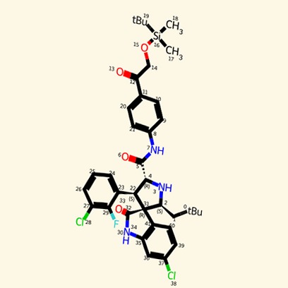 CC(C)(C)C[C@@H]1N[C@@H](C(=O)Nc2ccc(C(=O)CO[Si](C)(C)C(C)(C)C)cc2)[C@H](c2cccc(Cl)c2F)[C@]12C(=O)Nc1cc(Cl)ccc12